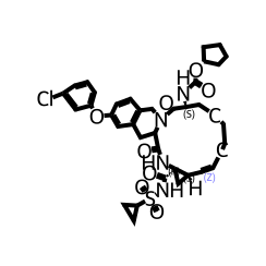 O=C(N[C@H]1CCCCC/C=C\[C@@H]2C[C@@]2(C(=O)NS(=O)(=O)C2CC2)NC(=O)C2Cc3cc(Oc4cccc(Cl)c4)ccc3CN2C1=O)OC1CCCC1